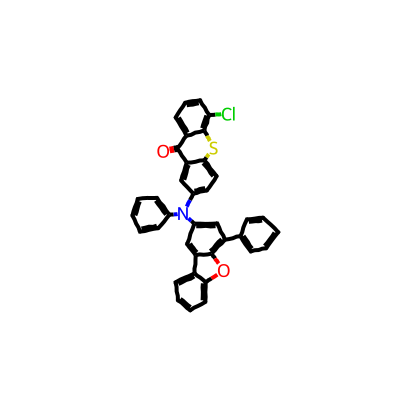 O=c1c2cc(N(c3ccccc3)c3cc(-c4ccccc4)c4oc5ccccc5c4c3)ccc2sc2c(Cl)cccc12